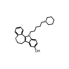 Oc1ccc2c(c1)c1c(n2CCCCCN2CCCCC2)-c2ccccc2SCC1